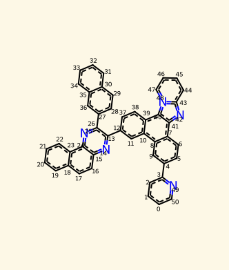 c1ccc(-c2ccc3c(c2)c2cc(-c4nc5ccc6ccccc6c5nc4-c4ccc5ccccc5c4)ccc2c2c3nc3ccccn32)nc1